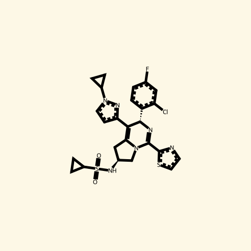 O=S(=O)(N[C@H]1CC2=C(c3ccn(C4CC4)n3)[C@H](c3ccc(F)cc3Cl)N=C(c3nccs3)N2C1)C1CC1